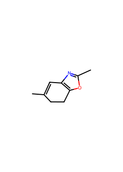 CC1=Cc2nc(C)oc2CC1